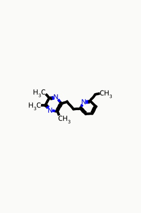 CCc1cccc(CCc2nc(C)c(C)nc2C)n1